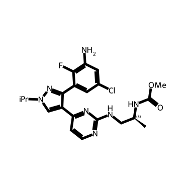 COC(=O)N[C@@H](C)CNc1nccc(-c2cn(C(C)C)nc2-c2cc(Cl)cc(N)c2F)n1